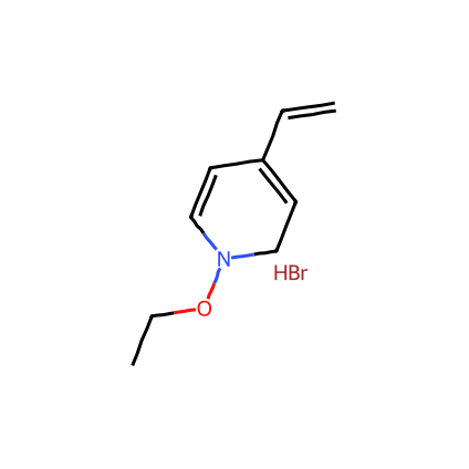 Br.C=CC1=CCN(OCC)C=C1